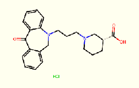 Cl.O=C1c2ccccc2CN(CCCN2CCC[C@@H](C(=O)O)C2)c2ccccc21